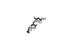 CC(=N)/C(=C\NCC1CC1)CN/C(I)=C\C(=N)Cl